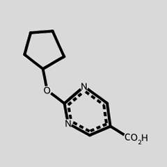 O=C(O)c1cnc(OC2CCCC2)nc1